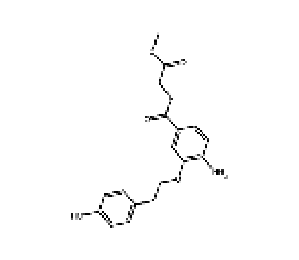 COC(=O)CNC(=O)c1ccc(N)c(OCCc2ccc(O)cc2)c1